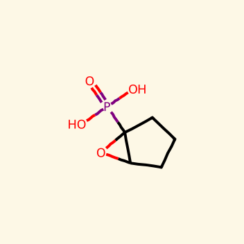 O=P(O)(O)C12CCCC1O2